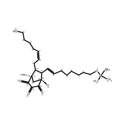 CC(C)(C)[Si](C)(C)OCCCCCCC=CC1C(C/C=C\CCCCO)[C@H]2C[C@H]1C(=O)C(=O)C2=O